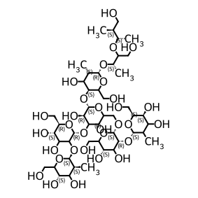 CC1C(O)[C@H](O)[C@H](CO)O[C@H]1O[C@@H]1C(O)[C@H](O)C(CO)O[C@@H]1OCC1O[C@@H](O[C@@H]2C(CO)O[C@@H](O[C@@H](C)C(CO)O[C@@H](C)[C@@H](C)CO)[C@@H](C)C2O)[C@H](O)C(O[C@H]2O[C@H](CO)[C@@H](O)C(O)C2O[C@@H]2OC(CO)[C@@H](O)C(O)[C@@H]2C)[C@@H]1O